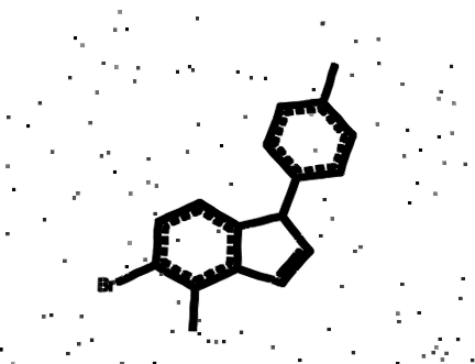 Cc1ccc(C2C=Cc3c2ccc(Br)c3C)cc1